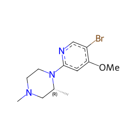 COc1cc(N2CCN(C)C[C@H]2C)ncc1Br